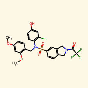 COc1ccc(CN(c2ccc(O)cc2F)S(=O)(=O)c2ccc3c(c2)CN(C(=O)C(F)(F)F)C3)c(OC)c1